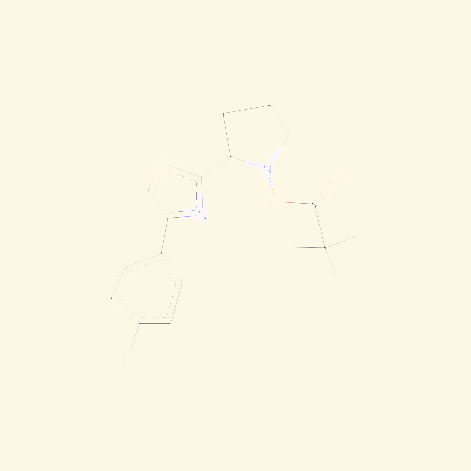 CC(C)(C)C(=O)ON1CCCC1c1nc(-c2ccc(Br)cc2)co1